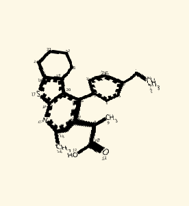 CCc1ccc(-c2c(C(C)C(=O)O)c(C)nc3sc4c(c23)CCCC4)cc1